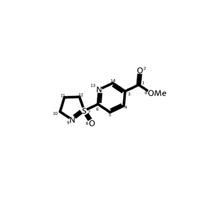 COC(=O)c1ccc(S2(=O)=NCCC2)nc1